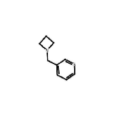 [c]1ccc(CN2CCC2)cn1